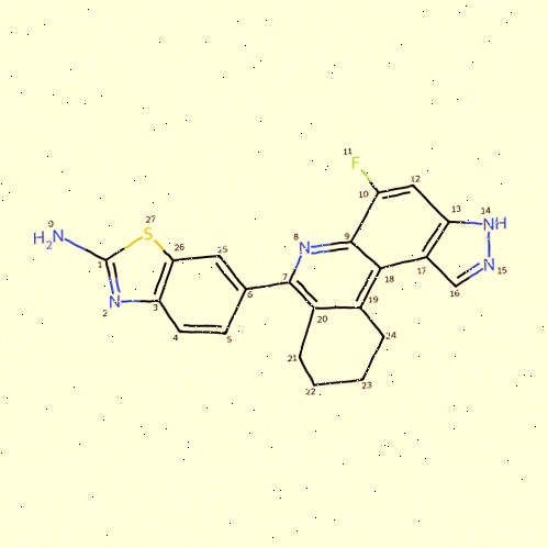 Nc1nc2ccc(-c3nc4c(F)cc5[nH]ncc5c4c4c3CCCC4)cc2s1